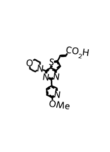 COc1ccc(-c2nc(N3CCOCC3)c3sc(/C=C/C(=O)O)cc3n2)cn1